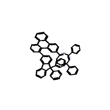 C1=C(c2ccccc2)\N=C(\c2ccc3c4ccccc4c4cccc(-c5ccc6c(c5)-c5ccccc5C6(c5ccccc5)c5ccccc5)c4c3c2)CC\C=C/1c1ccccc1